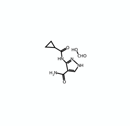 NC(=O)c1c[nH]nc1NC(=O)C1CC1.O=CO